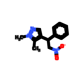 Cc1c(C(C[N+](=O)[O-])c2ccccc2)cnn1C